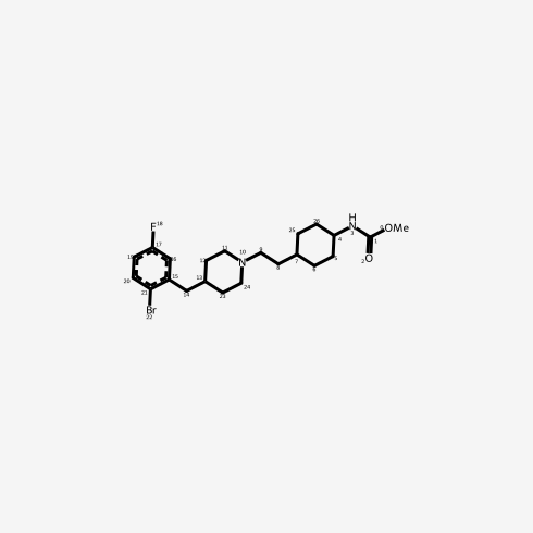 COC(=O)NC1CCC(CCN2CCC(Cc3cc(F)ccc3Br)CC2)CC1